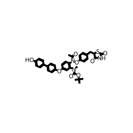 CC(=O)N(Oc1ccc(CC2SC(=O)NC2=O)cc1)c1ccc(Oc2ccc(-c3ccc(O)cc3)cc2)cc1N(C)C(=O)OC(C)(C)C